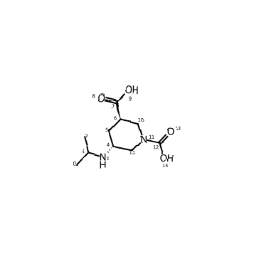 CC(C)N[C@@H]1C[C@@H](C(=O)O)CN(C(=O)O)C1